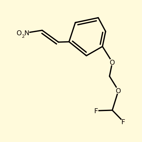 O=[N+]([O-])C=Cc1cccc(OCOC(F)F)c1